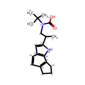 CC(CN(C(=O)O)C(C)(C)C)c1cc2ccc3c(c2[nH]1)CCC3